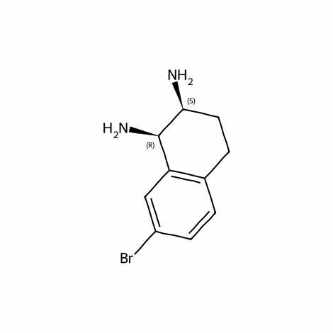 N[C@@H]1c2cc(Br)ccc2CC[C@@H]1N